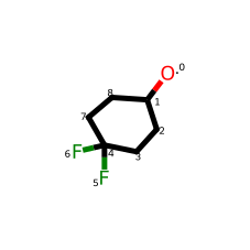 [O]C1CCC(F)(F)CC1